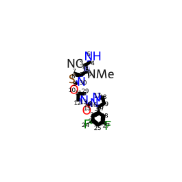 CN/C(=C(/C#N)C=N)c1csc(OC2CN(C(=O)N3N=CC[C@H]3c3cc(F)cc(F)c3)C2)n1